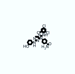 NC(=O)[C@H]1CC[C@@H](n2c(Nc3c(Cl)cc(Cl)cc3Cl)nc3cnc(NC4CCC[C@H](O)C4)nc32)CC1